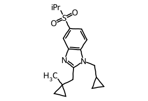 CC(C)S(=O)(=O)c1ccc2c(c1)nc(CC1(C)CC1)n2CC1CC1